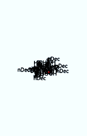 CCCCCCCCCCCC(=O)OC(CCCCCCCCCCC)CC(=O)OC1C(OP(=O)(O)O)C(CO)O[C@@H](OCC2OC(OP(=O)(O)O)[C@@H](NC(=O)CC(O)CCCCCCCCCCC)C(OC(=O)CC(O)CCCCCCCCCCC)[C@@H]2O)[C@H]1NC(=O)CC(O)CCCCCCCCCCC